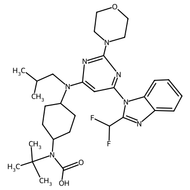 CC(C)CN(c1cc(-n2c(C(F)F)nc3ccccc32)nc(N2CCOCC2)n1)C1CCC(N(C(=O)O)C(C)(C)C)CC1